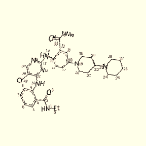 CCNC(=O)c1ccccc1Nc1nc(Nc2ccc(N3CCC(N4CCCCC4)CC3)cc2C(=O)NC)ncc1Cl